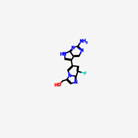 Nc1ncc2c(-c3cc(F)c4ncc(CO)n4c3)c[nH]c2n1